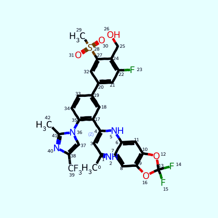 CC(=N)/C=C(\Nc1ccc2c(c1)OC(F)(F)O2)c1cc(-c2cc(F)c(CO)c(S(C)(=O)=O)c2)ccc1-n1cc(C(F)(F)F)nc1C